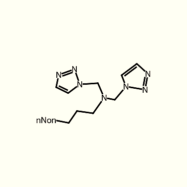 CCCCCCCCCCCCN(Cn1ccnn1)Cn1ccnn1